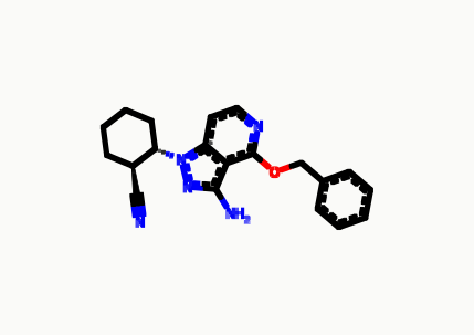 N#C[C@H]1CCCC[C@@H]1n1nc(N)c2c(OCc3ccccc3)nccc21